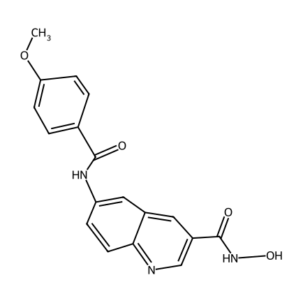 COc1ccc(C(=O)Nc2ccc3ncc(C(=O)NO)cc3c2)cc1